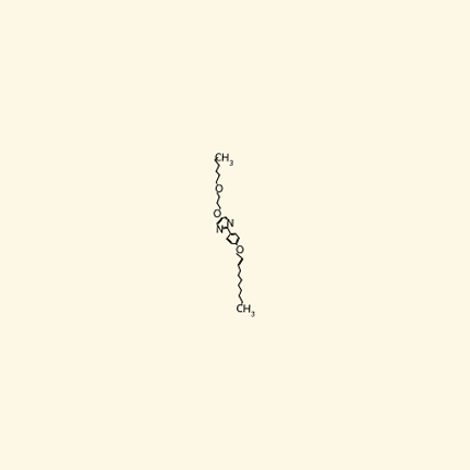 CCCCCCCCC=CCOc1ccc(-c2ncc(OCCCCOCCCCCC)cn2)cc1